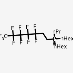 CCCCCC[PH](CCC)(CCCCCC)CCC(F)(F)C(F)(F)C(F)(F)C(F)(F)C(F)(F)F